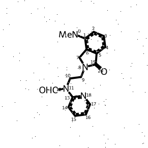 CNc1cccc2c1CN(CCN(C=O)c1ccccn1)C2=O